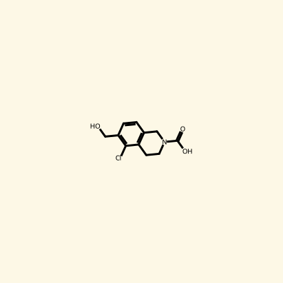 O=C(O)N1CCc2c(ccc(CO)c2Cl)C1